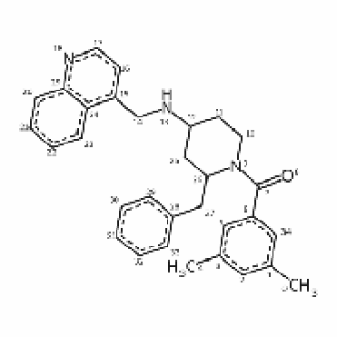 Cc1cc(C)cc(C(=O)N2CCC(NCc3ccnc4ccccc34)CC2Cc2ccccc2)c1